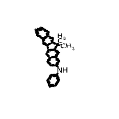 CC1(C)c2cc3ccccc3cc2-c2cc3ccc(Nc4ccccc4)cc3cc21